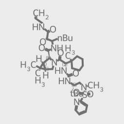 C=CCNC(=O)C(=O)C(CCCC)NC(=O)[C@@H]1[C@@H]2[C@H](CN1C(=O)[C@@H](NC(=O)N[C@H](CN(C)S(=O)(=O)c1ccccn1)C(C)(C)C)C1(C)CCCCC1)C2(C)C